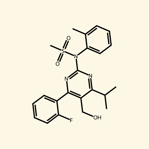 Cc1ccccc1N(c1nc(-c2ccccc2F)c(CO)c(C(C)C)n1)S(C)(=O)=O